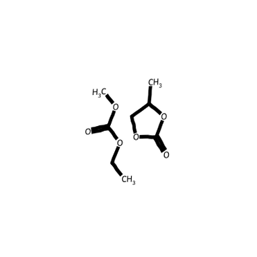 CC1COC(=O)O1.CCOC(=O)OC